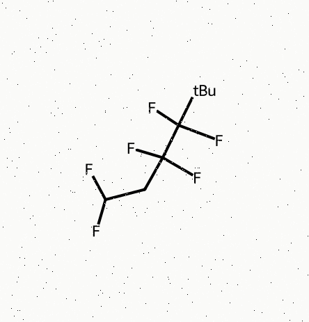 CC(C)(C)C(F)(F)C(F)(F)CC(F)F